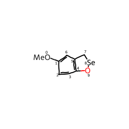 COc1ccc2c(c1)C[Se]O2